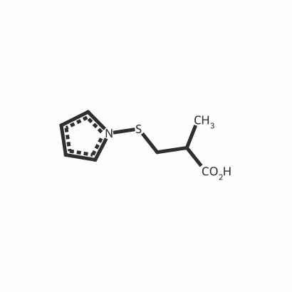 CC(CSn1cccc1)C(=O)O